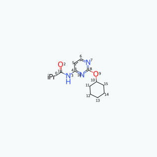 CC(C)C(=O)Nc1ccnc(OC2CCCCC2)n1